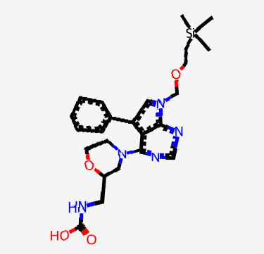 C[Si](C)(C)CCOCn1cc(-c2ccccc2)c2c(N3CCOC(CNC(=O)O)C3)ncnc21